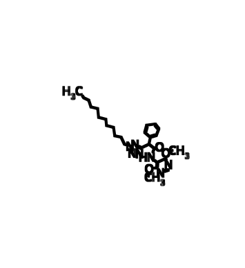 CCCCCCCCCCCCn1nnc(C(C(=O)Nc2c(OC)ncnc2OC)c2ccccc2)n1